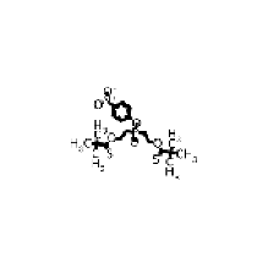 CC(C)(C)C(=S)OCCP(=O)(CCOC(=S)C(C)(C)C)Oc1ccc([N+](=O)[O-])cc1